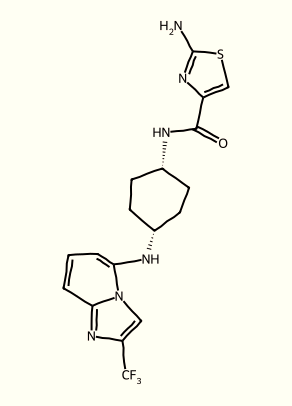 Nc1nc(C(=O)N[C@H]2CC[C@@H](Nc3cccc4nc(C(F)(F)F)cn34)CC2)cs1